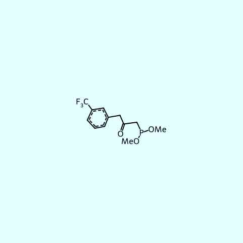 COP(CC(=O)Cc1cccc(C(F)(F)F)c1)OC